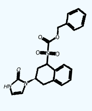 O=C(OCc1ccccc1)S(=O)(=O)C1C[C@H](n2cc[nH]c2=O)Cc2ccccc21